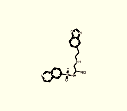 C[C@H](CNCCc1ccc2ocnc2c1)NS(=O)(=O)c1ccc2cnccc2c1.Cl